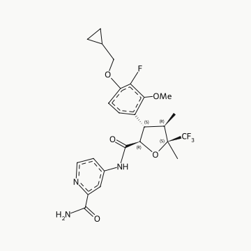 COc1c([C@@H]2[C@@H](C)[C@@](C)(C(F)(F)F)O[C@H]2C(=O)Nc2ccnc(C(N)=O)c2)ccc(OCC2CC2)c1F